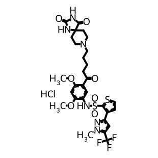 COc1cc(OC)c(C(=O)CCCCN2CCC3(CC2)NC(=O)NC3=O)cc1NS(=O)(=O)c1sccc1-c1cc(C(F)(F)F)n(C)n1.Cl